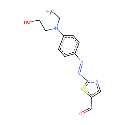 CCN(CCO)c1ccc(/N=N/c2ncc(C=O)s2)cc1